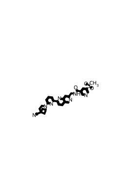 CS(=O)(=O)c1cncc(C(=O)NCc2cc3nc(-c4cccc(N5CCC6(C#N)CC5C6)n4)ccc3cn2)c1